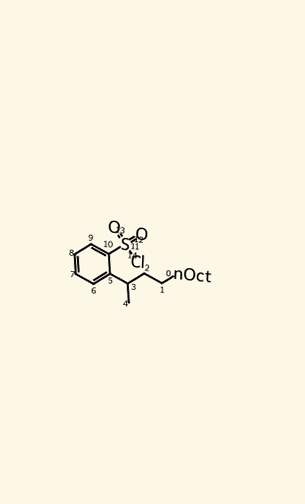 CCCCCCCCCCC(C)c1ccccc1S(=O)(=O)Cl